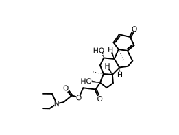 CCN(CC)CC(=O)OCC(=O)[C@@]1(O)CC[C@H]2[C@@H]3CCC4=CC(=O)C=C[C@]4(C)[C@H]3[C@@H](O)C[C@@]21C